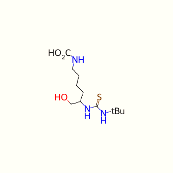 CC(C)(C)NC(=S)NC(CO)CCCCNC(=O)O